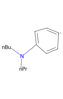 CCCCN(CCC)c1cc[c]cc1